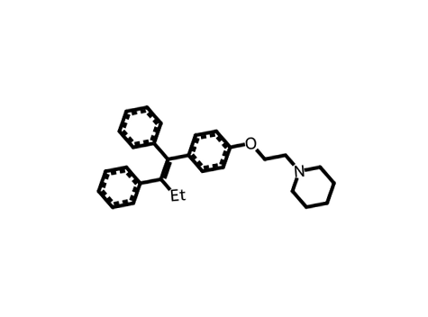 CCC(=C(c1ccccc1)c1ccc(OCCN2CCCCC2)cc1)c1ccccc1